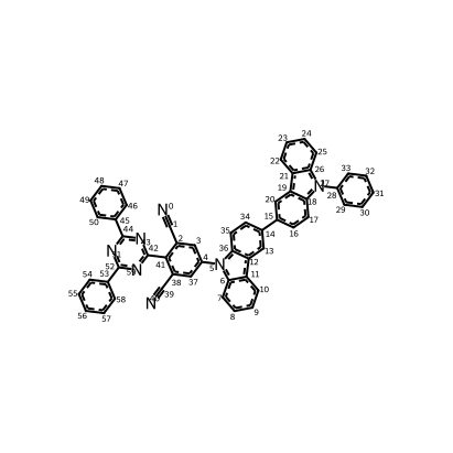 N#Cc1cc(-n2c3ccccc3c3cc(-c4ccc5c(c4)c4ccccc4n5-c4ccccc4)ccc32)cc(C#N)c1-c1nc(-c2ccccc2)nc(-c2ccccc2)n1